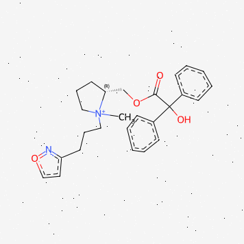 C[N+]1(CCCc2ccon2)CCC[C@@H]1COC(=O)C(O)(c1ccccc1)c1ccccc1